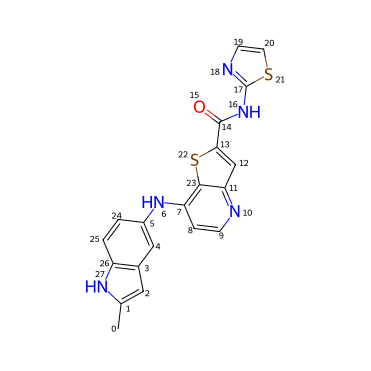 Cc1cc2cc(Nc3ccnc4cc(C(=O)Nc5nccs5)sc34)ccc2[nH]1